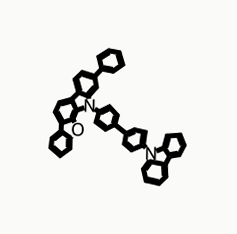 c1ccc(-c2ccc3c4ccc5c6ccccc6oc5c4n(-c4ccc(-c5ccc(-n6c7ccccc7c7ccccc76)cc5)cc4)c3c2)cc1